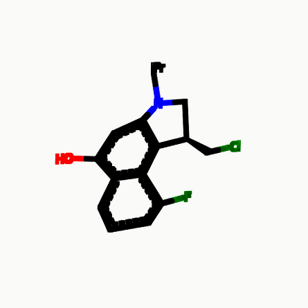 CC(C)N1C[C@@H](CCl)c2c1cc(O)c1cccc(F)c21